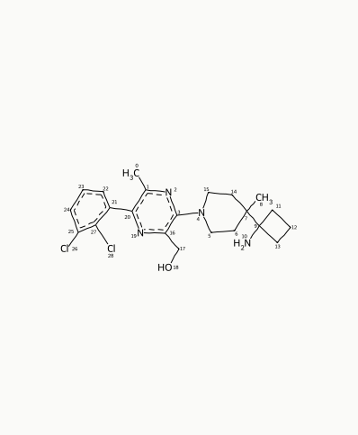 Cc1nc(N2CCC(C)(C3(N)CCC3)CC2)c(CO)nc1-c1cccc(Cl)c1Cl